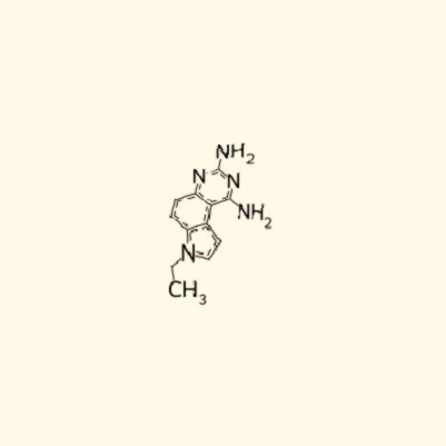 CCn1ccc2c3c(N)nc(N)nc3ccc21